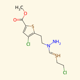 COC(=O)c1cc(Cl)c(CCN(N)C=[SH]CCCl)s1